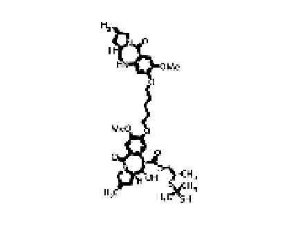 C=C1C[C@H]2CNc3cc(OCCCCCOc4cc5c(cc4OC)C(=O)N4CC(=C)C[C@H]4[C@H](O)N5C(=O)OC[C@@H](C)SC(C)(C)S)c(OC)cc3C(=O)N2C1